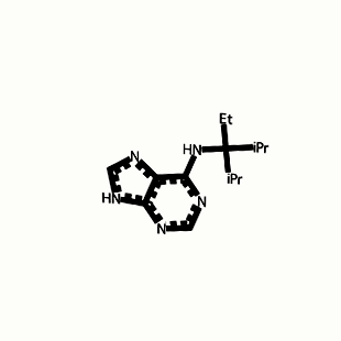 CCC(Nc1ncnc2[nH]cnc12)(C(C)C)C(C)C